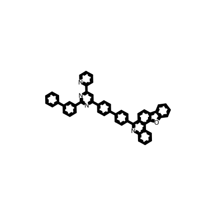 c1ccc(-c2cccc(-c3nc(-c4ccc(-c5ccc(-c6nc7ccccc7c7c6ccc6c8ccccc8oc67)cc5)cc4)cc(-c4ccccn4)n3)c2)cc1